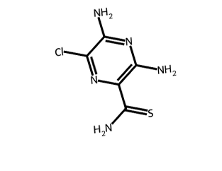 NC(=S)c1nc(Cl)c(N)nc1N